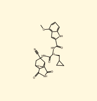 COc1cccc2[nH]c(C(=O)N[C@@H](CC3CC3)C(=O)NC3(C#N)CC4CCC3C3C(=O)NC(=O)C43)cc12